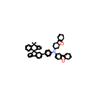 CC1(C)c2ccccc2C2(c3ccccc3-c3ccc(-c4ccc(N(C5=CC6OC7=C(C=CCC7)C6C=C5)c5ccc6oc7ccccc7c6c5)cc4)cc32)c2ccccc21